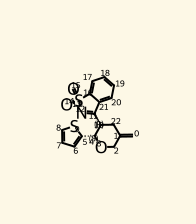 C=C1CO[C@H](c2cccs2)[C@@H](C2=NS(=O)(=O)c3ccccc32)C1